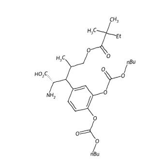 CCCCOC(=O)Oc1ccc(C(C(C)COC(=O)C(C)(C)CC)[C@H](N)C(=O)O)cc1OC(=O)OCCCC